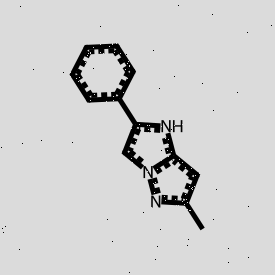 Cc1cc2[nH]c(-c3ccccc3)cn2n1